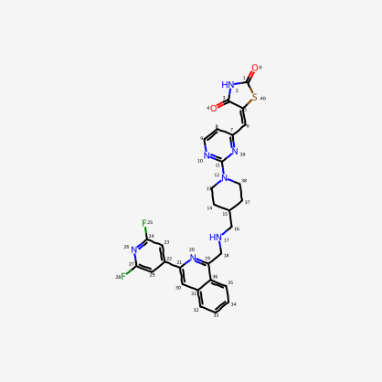 O=C1NC(=O)/C(=C\c2ccnc(N3CCC(CNCc4nc(-c5cc(F)nc(F)c5)cc5ccccc45)CC3)n2)S1